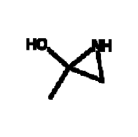 CC1(O)CN1